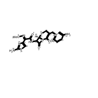 CO/N=C(/C(=O)NC1C(=O)N2C(C(=O)[O-])=C(C[n+]3cccc(N)c3)CS[C@H]12)c1csc(N)n1